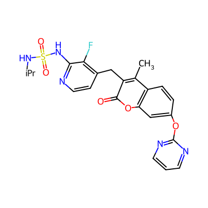 Cc1c(Cc2ccnc(NS(=O)(=O)NC(C)C)c2F)c(=O)oc2cc(Oc3ncccn3)ccc12